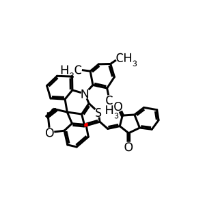 Cc1cc(C)c(N2c3ccccc3C3(c4ccccc4Oc4ccccc43)c3cc(C=C4C(=O)c5ccccc5C4=O)sc32)c(C)c1